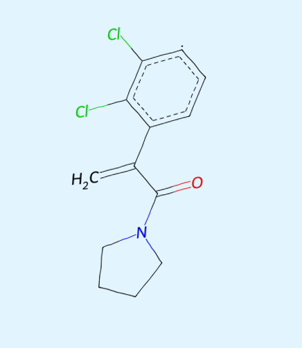 C=C(C(=O)N1CCCC1)c1cc[c]c(Cl)c1Cl